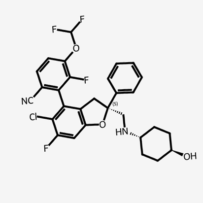 N#Cc1ccc(OC(F)F)c(F)c1-c1c(Cl)c(F)cc2c1C[C@@](CN[C@H]1CC[C@H](O)CC1)(c1ccccc1)O2